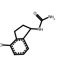 NC(=O)NC1CCc2c(Cl)cccc21